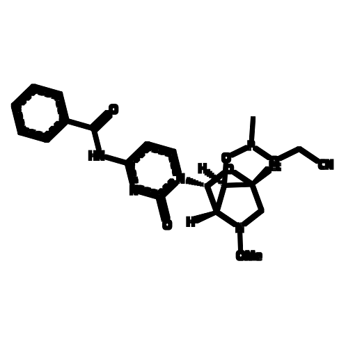 CC[C@]12CN(OC)[C@H]([C@H](n3ccc(NC(=O)c4ccccc4)nc3=O)O1)[C@H]2OP(C)OCC#N